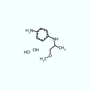 COCC(C)Nc1ccc(N)cc1.Cl.Cl